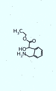 CCOC(=O)C(O)c1ccccc1CN